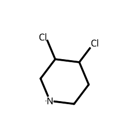 ClC1CC[N]CC1Cl